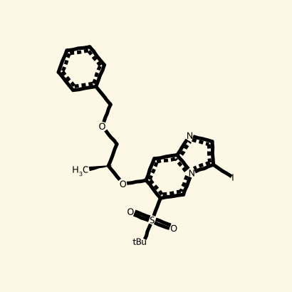 C[C@@H](COCc1ccccc1)Oc1cc2ncc(I)n2cc1S(=O)(=O)C(C)(C)C